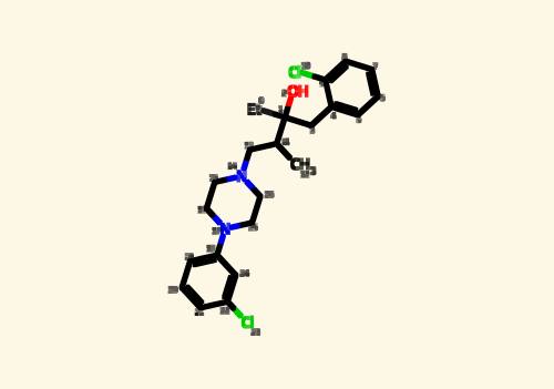 CCC(O)(Cc1ccccc1Cl)C(C)CN1CCN(c2cccc(Cl)c2)CC1